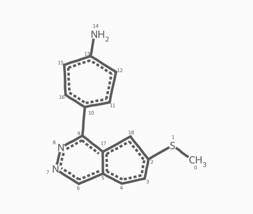 CSc1ccc2cnnc(-c3ccc(N)cc3)c2c1